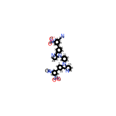 [C-]#[N+]c1cc(-c2ccc3c(c2)c2ncccc2n3-c2cccc(-n3c4ccc(-c5cc(C#N)cc([N+](=O)[O-])c5)cc4c4ncccc43)c2)cc([N+](=O)[O-])c1